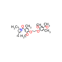 C=CC1CC(C2CC2)=CN1C(=O)c1cc(OC)c(OCCCOc2cc(C)c(C(C)=O)cc2OC)cc1C